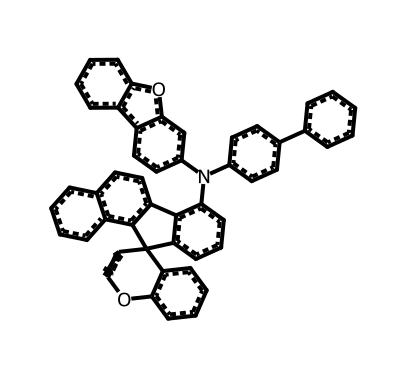 c1ccc(-c2ccc(N(c3ccc4c(c3)oc3ccccc34)c3cccc4c3-c3ccc5ccccc5c3C43c4ccccc4Oc4ccccc43)cc2)cc1